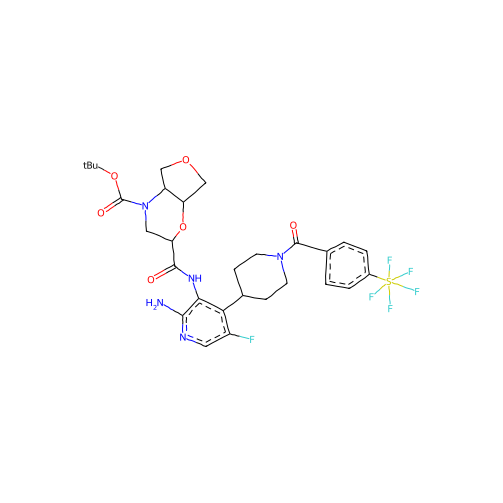 CC(C)(C)OC(=O)N1CC(C(=O)Nc2c(N)ncc(F)c2C2CCN(C(=O)c3ccc(S(F)(F)(F)(F)F)cc3)CC2)OC2COCC21